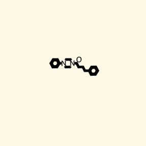 O=C(CCCc1ccccc1)N1CCN(c2ccccc2)CC1